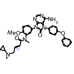 COc1ccc(-n2c(=O)n(-c3ccc(Oc4ccccc4)cc3)c3c(N)ncnc32)cc1N(C)C(=O)/C=C/CN(C)C1CC1